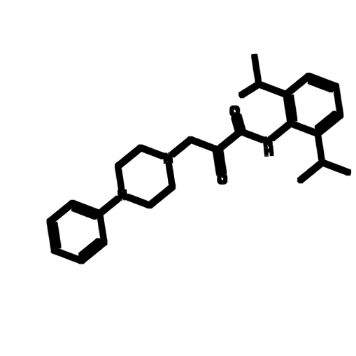 CC(C)c1cccc(C(C)C)c1NC(=O)C(=O)CN1CCN(c2ccccc2)CC1